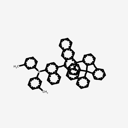 Cc1cccc(N(c2cccc(C)c2)c2ccc(-c3c4ccccc4c(-c4cccc5c4C(c4ccccc4)(c4ccccc4)c4ccccc4-5)c4cc5ccccc5cc34)c3ccccc23)c1